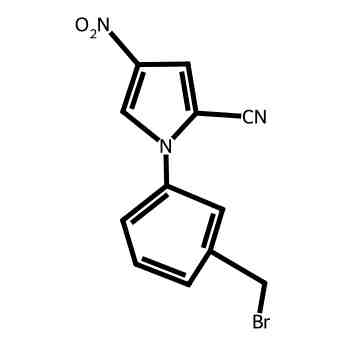 N#Cc1cc([N+](=O)[O-])cn1-c1cccc(CBr)c1